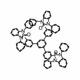 O=P1(c2cccc(-c3cc(-c4cccc(P5(=O)N(c6ccccc6)c6ccccc6N5c5ccccc5)c4)cc(-c4cccc(P5(=O)N(c6ccccc6)c6ccccc6N5c5ccccc5)c4)c3)c2)N(c2ccccc2)c2ccccc2N1c1ccccc1